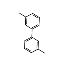 [CH2]c1cccc(-c2cccc(I)c2)c1